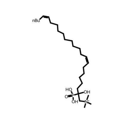 CCCC/C=C\CCCCCCCCC/C=C\CCCCCC(O)(C[N+](C)(C)C)P(=O)(O)O